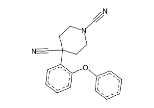 N#CN1CCC(C#N)(c2ccccc2Oc2ccccc2)CC1